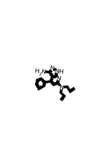 C=CCN(CC=C)c1cc(-c2ccccc2)c2c(N)n[nH]c2n1